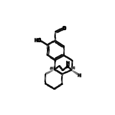 O=Cc1cc2c(cc1O)[C@]13CCCCC1[C@H](C2)NCC3